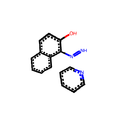 N=Nc1c(O)ccc2ccccc12.c1ccncc1